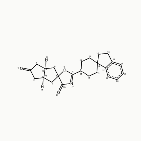 O=C1C[C@@H]2CC3(C[C@@H]2C1)OC(N1CCC2(CCc4ccccc42)CC1)=NC3=O